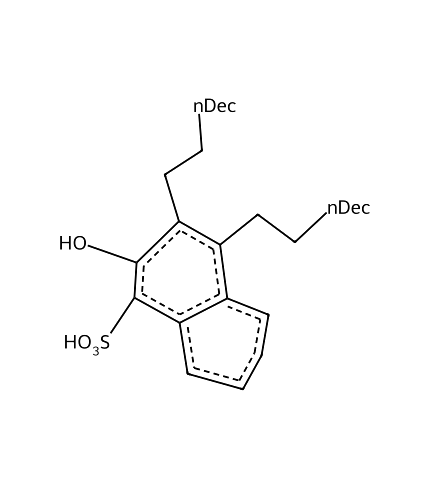 CCCCCCCCCCCCc1c(O)c(S(=O)(=O)O)c2ccccc2c1CCCCCCCCCCCC